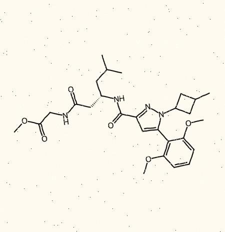 COC(=O)CNC(=O)C[C@H](CC(C)C)NC(=O)c1cc(-c2c(OC)cccc2OC)n(C2CC(C)C2)n1